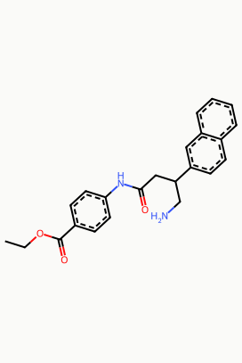 CCOC(=O)c1ccc(NC(=O)CC(CN)c2ccc3ccccc3c2)cc1